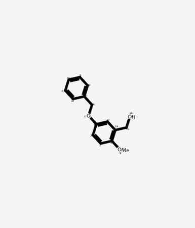 COc1ccc(OCc2ccccc2)cc1CO